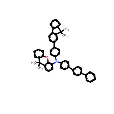 CC1(C)c2ccccc2-c2ccc(-c3ccc(N(c4ccc(-c5ccc(-c6ccccc6)cc5)cc4)c4cccc5c4Oc4ccccc4C5(C)C)cc3)cc21